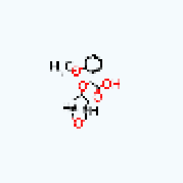 COc1ccccc1C(OC1C[C@H]2COC[C@@H]2C1)C(=O)O